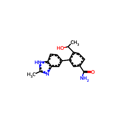 Cc1nc2cc(-c3cc(C(N)=O)ccc3C(C)O)ccc2[nH]1